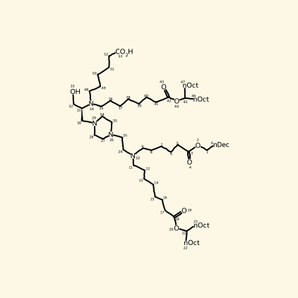 CCCCCCCCCCCOC(=O)CCCCCN(CCCCCCCC(=O)OC(CCCCCCCC)CCCCCCCC)CCN1CCN(C[C@@H](CO)N(CCCCCCCC(=O)OC(CCCCCCCC)CCCCCCCC)CCCCCC(=O)O)CC1